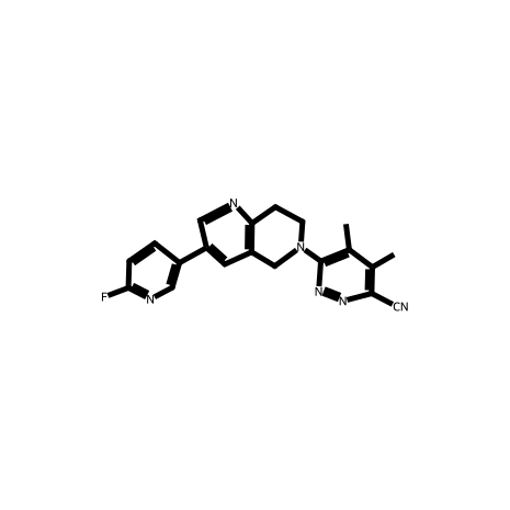 Cc1c(C#N)nnc(N2CCc3ncc(-c4ccc(F)nc4)cc3C2)c1C